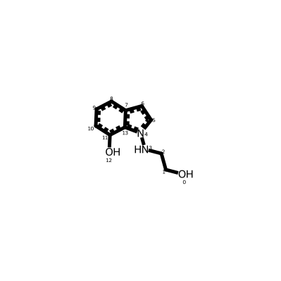 OCCNn1ccc2cccc(O)c21